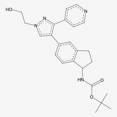 CC(C)(C)OC(=O)NC1CCc2cc(-c3cn(CCO)nc3-c3ccncc3)ccc21